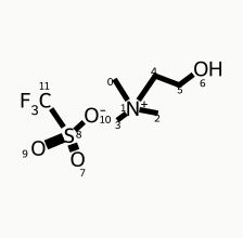 C[N+](C)(C)CCO.O=S(=O)([O-])C(F)(F)F